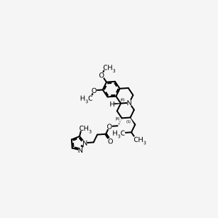 COc1cc2c(cc1OC)[C@H]1C[C@@H](COC(=O)CCn3nccc3C)[C@H](CC(C)C)CN1CC2